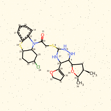 C[C@@H]1CC(C2NNC(SCC(=O)N3c4ccccc4SC4CCC(Cl)CC43)NC2C2=CCCO2)O[C@@H]1C